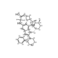 C[C@@H](Nc1nc(NC(C)(C)C(=O)O)nc2nc(N3CCOC[C@H]3c3ccccc3)n(C[C@H]3CC[C@H](C)CC3)c12)C1CCC1